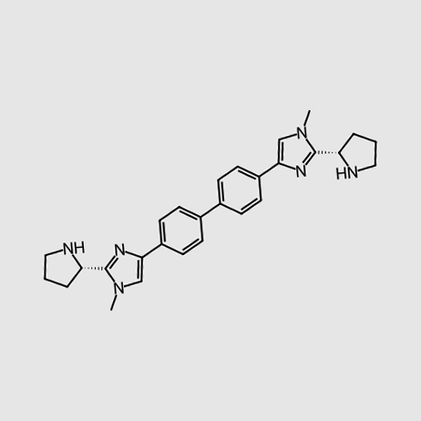 Cn1cc(-c2ccc(-c3ccc(-c4cn(C)c([C@@H]5CCCN5)n4)cc3)cc2)nc1[C@@H]1CCCN1